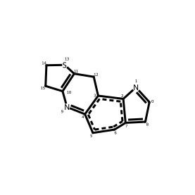 C1=Nc2c3c(ccc2=C1)=NC1=C(C3)SCC1